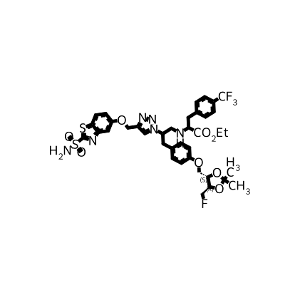 CCOC(=O)C(Cc1ccc(C(F)(F)F)cc1)NCC(Cc1ccc(OC[C@@H]2OC(C)(C)O[C@H]2CF)cc1)n1cc(COc2ccc3sc(S(N)(=O)=O)nc3c2)nn1